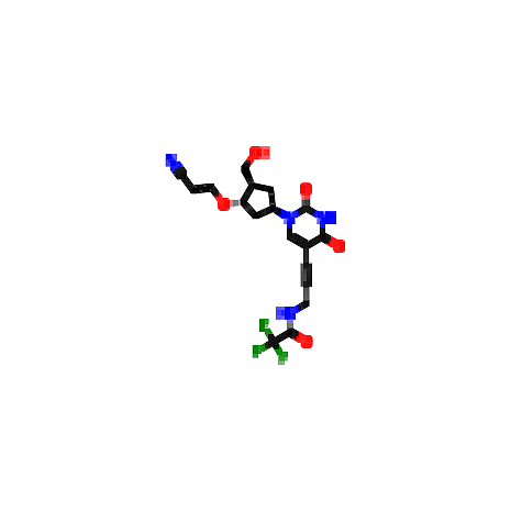 N#C/C=C/O[C@H]1C[C@H](n2cc(C#CCNC(=O)C(F)(F)F)c(=O)[nH]c2=O)C[C@@H]1CO